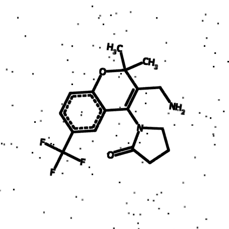 CC1(C)Oc2ccc(C(F)(F)F)cc2C(N2CCCC2=O)=C1CN